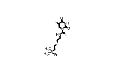 CC(C)[Si](C)(C)CCSCCNC(=O)n1cc(F)c(=O)[nH]c1=O